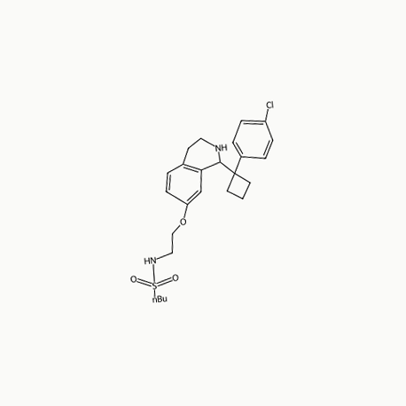 CCCCS(=O)(=O)NCCOc1ccc2c(c1)C(C1(c3ccc(Cl)cc3)CCC1)NCC2